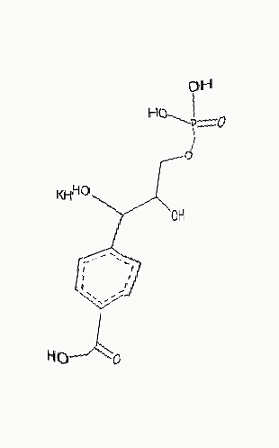 O=C(O)c1ccc(C(O)C(O)COP(=O)(O)O)cc1.[KH]